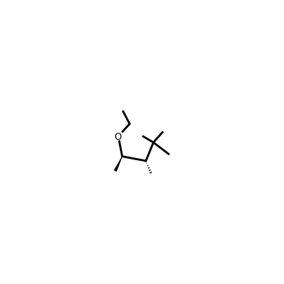 CCO[C@H](C)[C@@H](C)C(C)(C)C